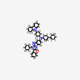 c1ccc(-c2ccc(N(c3ccc(-n4c5ccccc5c5ccccc54)cc3)c3ccc4c(c3)nc3n(-c5ccccc5)c5c6ccccc6oc5n43)cc2)cc1